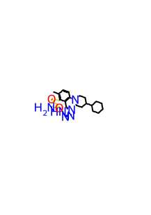 Cc1ccc(N2CCC(C3CCCCC3)CC2)c(-c2nnn[nH]2)c1S(N)(=O)=O